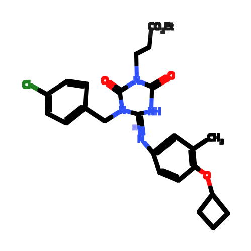 CCOC(=O)CCn1c(=O)[nH]/c(=N\c2ccc(OC3CCC3)c(C)c2)n(Cc2ccc(Cl)cc2)c1=O